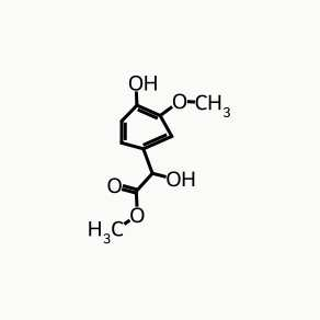 COC(=O)C(O)c1ccc(O)c(OC)c1